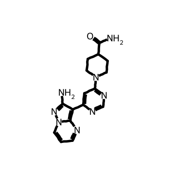 NC(=O)C1CCN(c2cc(-c3c(N)nn4cccnc34)ncn2)CC1